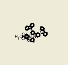 CC(C)(C)c1ccc2c(c1)Oc1cccc3c1B2c1cc(-n2c4ccccc4c4ccccc42)cc2c4cc(-n5c6ccccc6c6ccccc65)ccc4n-3c12